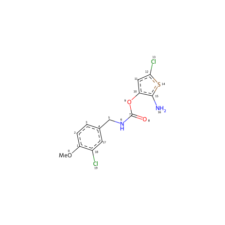 COc1ccc(CNC(=O)Oc2cc(Cl)sc2N)cc1Cl